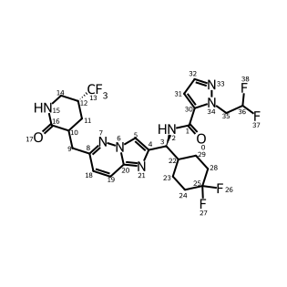 O=C(N[C@H](c1cn2nc(CC3C[C@@H](C(F)(F)F)CNC3=O)ccc2n1)C1CCC(F)(F)CC1)c1ccnn1CC(F)F